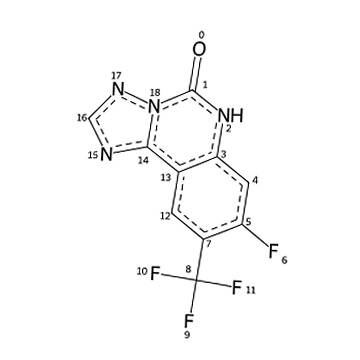 O=c1[nH]c2cc(F)c(C(F)(F)F)cc2c2ncnn12